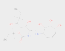 CC(C)(C)CC(C)(C)OC(=O)NC(CNC1CC=CC(O)C(O)C1O)C(O)CC(O)C(C)(C)CC(C)(C)C